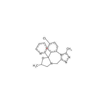 Cc1nnc2n1-c1ccc(Cl)cc1C1(c3ccccn3)OC(C)CN1C2